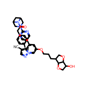 N#Cc1ccc(CC(=O)N2C3CC2CN(c2ncc(-c4cc(OCCCC5COC6C(O)COC56)cn5ncc(C#N)c45)cn2)C3)cc1